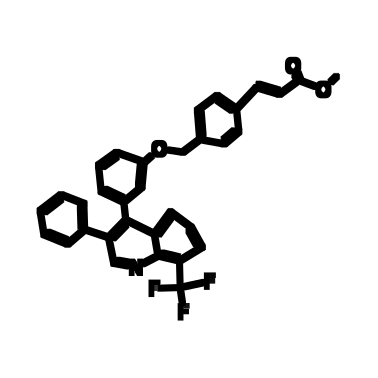 COC(=O)C=Cc1ccc(COc2cccc(-c3c(-c4ccccc4)cnc4c(C(F)(F)F)cccc34)c2)cc1